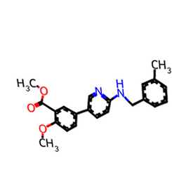 COC(=O)c1cc(-c2ccc(NCc3cccc(C)c3)nc2)ccc1OC